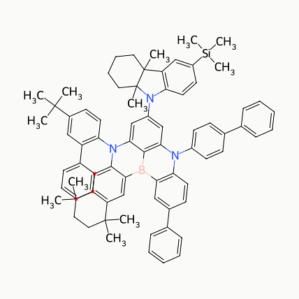 CC(C)(C)c1ccc(N2c3cc4c(cc3B3c5cc(-c6ccccc6)ccc5N(c5ccc(-c6ccccc6)cc5)c5cc(N6c7ccc([Si](C)(C)C)cc7C7(C)CCCCC67C)cc2c53)C(C)(C)CCC4(C)C)c(-c2ccccc2)c1